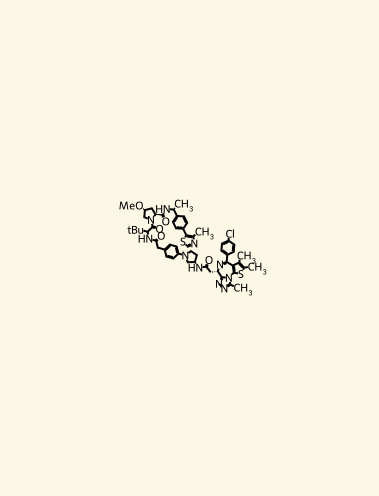 CO[C@@H]1C[C@@H](C(=O)N[C@@H](C)c2ccc(-c3scnc3C)cc2)N(C(=O)C(NC(=O)Cc2ccc(N3CC[C@@H](NC(=O)C[C@@H]4N=C(c5ccc(Cl)cc5)c5c(sc(C)c5C)-n5c(C)nnc54)C3)cc2)C(C)(C)C)C1